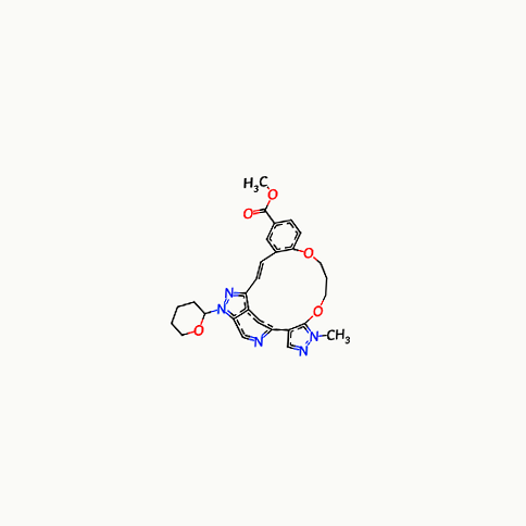 COC(=O)c1ccc2c(c1)/C=C/c1nn(C3CCCCO3)c3cnc(cc13)-c1cnn(C)c1OCCCO2